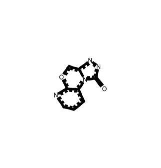 O=c1nnc2coc3ncccc3n1-2